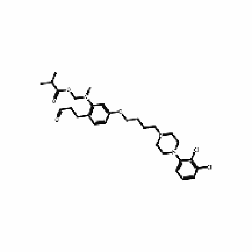 CC(C)C(=O)OCN(C)c1cc(OCCCCN2CCN(c3cccc(Cl)c3Cl)CC2)ccc1CCC=O